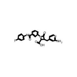 Nc1cc(CC2C(=O)N(c3cccc(C(=O)Nc4ccc(F)cc4)c3)C2C(=O)O)ccn1